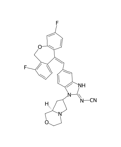 N#C/N=c1\[nH]c2cc(/C=C3/c4ccc(F)cc4OCc4c(F)cccc43)ccc2n1C1C[C@@H]2COCCN2C1